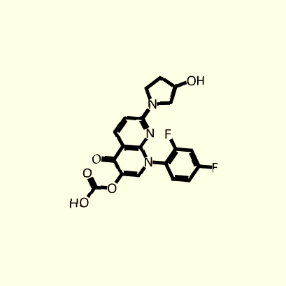 O=C(O)Oc1cn(-c2ccc(F)cc2F)c2nc(N3CCC(O)C3)ccc2c1=O